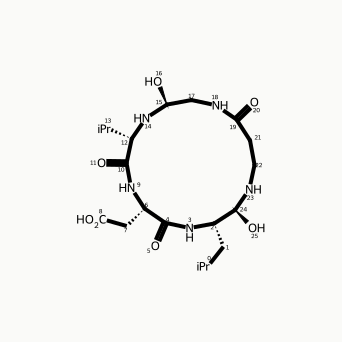 CC(C)C[C@@H]1NC(=O)[C@H](CC(=O)O)NC(=O)[C@H](C(C)C)N[C@@H](O)CNC(=O)CCN[C@H]1O